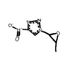 CC1OC1n1cc([N+](=O)[O-])nn1